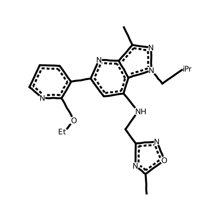 CCOc1ncccc1-c1cc(NCc2noc(C)n2)c2c(n1)c(C)nn2CC(C)C